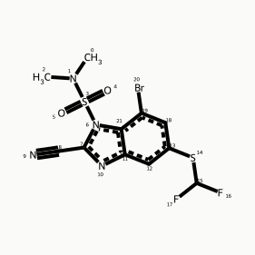 CN(C)S(=O)(=O)n1c(C#N)nc2cc(SC(F)F)cc(Br)c21